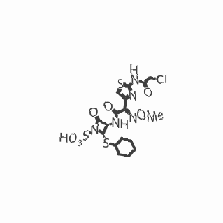 CON=C(C(=O)N[C@@H]1C(=O)N(S(=O)(=O)O)[C@@H]1SC1CCCCC1)c1csc(NC(=O)CCl)n1